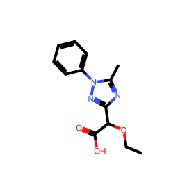 CCOC(C(=O)O)c1nc(C)n(-c2ccccc2)n1